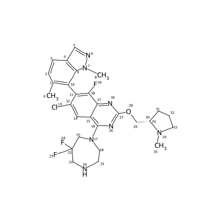 Cc1ccc2cnn(C)c2c1-c1c(Cl)cc2c(N3CCNCC(F)(F)C3)nc(OC[C@@H]3CCCN3C)nc2c1F